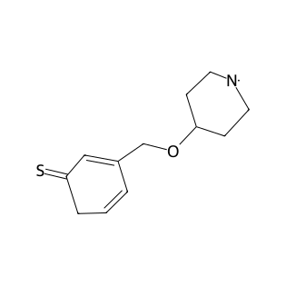 S=C1C=C(COC2CC[N]CC2)C=CC1